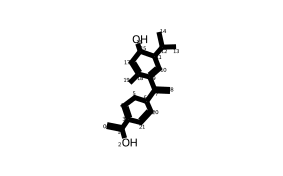 C=C(O)C1=CCC(C(=C)C2=CC(C(C)C)C(O)C=C2C)C=C1